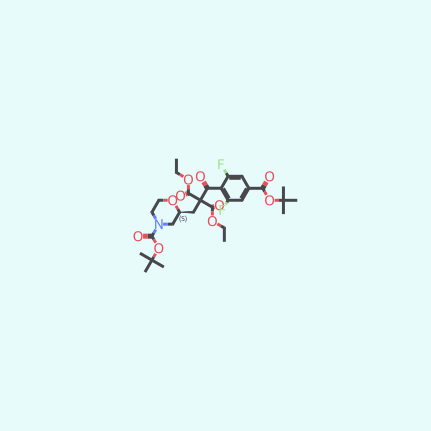 CCOC(=O)C(C[C@H]1CN(C(=O)OC(C)(C)C)CCO1)(C(=O)OCC)C(=O)c1c(F)cc(C(=O)OC(C)(C)C)cc1F